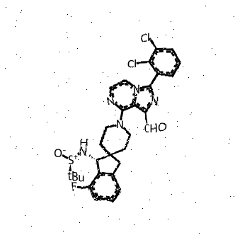 CC(C)(C)[S@@+]([O-])N[C@H]1c2c(F)cccc2CC12CCN(c1nccn3c(-c4cccc(Cl)c4Cl)nc(C=O)c13)CC2